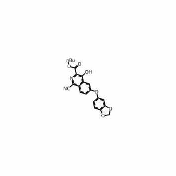 CCCCOC(=O)c1nc(C#N)c2ccc(Oc3ccc4c(c3)OCO4)cc2c1O